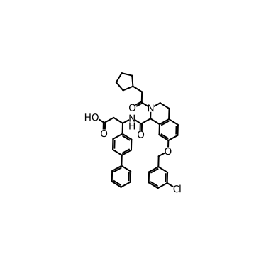 O=C(O)CC(NC(=O)C1c2cc(OCc3cccc(Cl)c3)ccc2CCN1C(=O)CC1CCCC1)c1ccc(-c2ccccc2)cc1